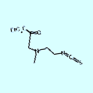 CCOC(=O)C(=O)CN(C)CCN=C=S